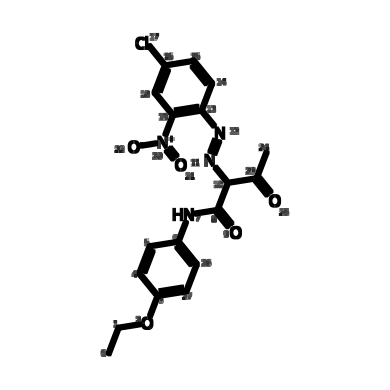 CCOc1ccc(NC(=O)C(N=Nc2ccc(Cl)cc2[N+](=O)[O-])C(C)=O)cc1